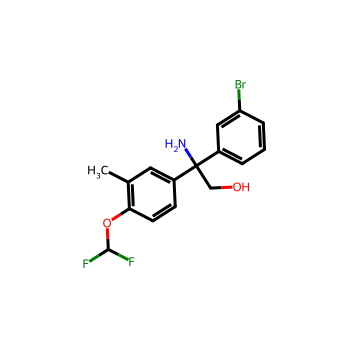 Cc1cc(C(N)(CO)c2cccc(Br)c2)ccc1OC(F)F